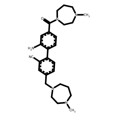 CN1CCCN(Cc2ccc(-c3ccc(C(=O)N4CCCN(C)CC4)cc3N)c(C#N)c2)CC1